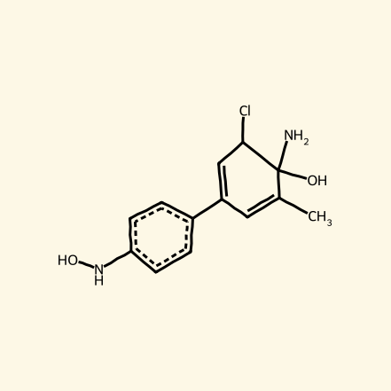 CC1=CC(c2ccc(NO)cc2)=CC(Cl)C1(N)O